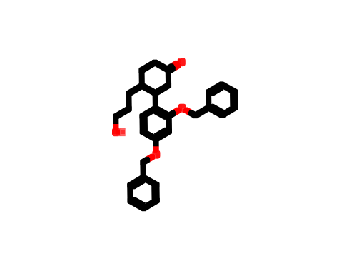 O=C1CCC(CCCO)C(c2ccc(OCc3ccccc3)cc2OCc2ccccc2)C1